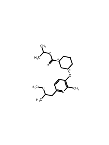 COC(C)Cc1ccc(O[C@H]2CCC[C@H](C(=O)OC(C)C)C2)c(C)n1